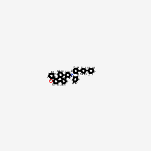 c1ccc(-c2ccc(-c3cccc(N(c4ccccc4)c4cccc(-c5cccc6c7ccc8oc9ccccc9c8c7c7ccccc7c56)c4)c3)cc2)cc1